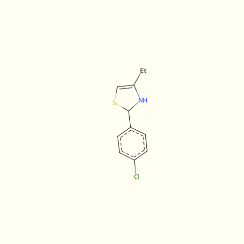 CCC1=CSC(c2ccc(Cl)cc2)N1